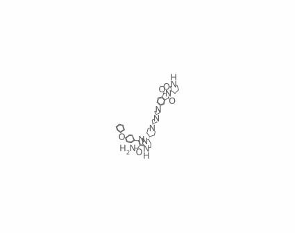 NC(=O)c1c(-c2ccc(Oc3ccccc3)cc2)nn2c1NCC[C@H]2C1CCN(C2CN(C3CN(c4ccc5c(c4)C(=O)N(C4CCCNC4=O)C5=O)C3)C2)CC1